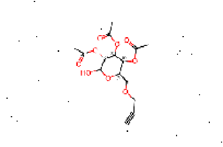 C#CCOC[C@H]1OC(O)[C@H](OC(C)=O)[C@@H](OC(C)=O)[C@H]1OC(C)=O